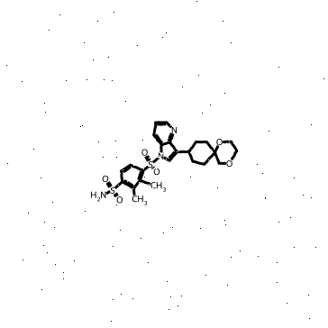 Cc1c(S(N)(=O)=O)ccc(S(=O)(=O)n2cc(C3CCC4(CC3)COCCO4)c3ncccc32)c1C